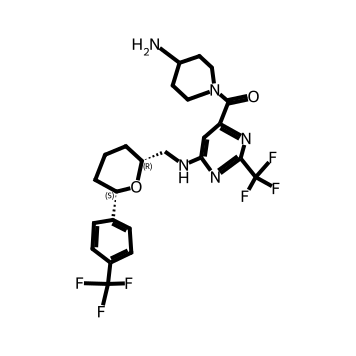 NC1CCN(C(=O)c2cc(NC[C@H]3CCC[C@@H](c4ccc(C(F)(F)F)cc4)O3)nc(C(F)(F)F)n2)CC1